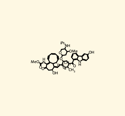 COC(=O)NC1=C2C#C/C=C\C#C[C@H](OC3OC(C)C(C(=O)c4cccc5c4[nH]c4ccc(O)cc45)CC3OC3CC(OC)C(NC(C)C)CO3)C2/C(=C\CS(C)=S)[C@@H](O)CC1=O